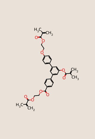 C=C(C)C(=O)OCCOC(=O)c1ccc(-c2cc(OC(=O)C(=C)C)cc(-c3ccc(OCCOC(=O)C(=C)C)cc3)c2)cc1